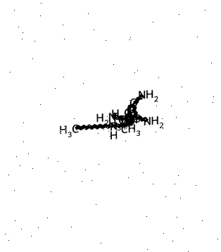 CCCCCCCCCCCCCCNCCC[C@@H](C)[C@H]1CC[C@H]2C3[C@H](OCCCN)CC4C[C@H](OCCCN)CCC4(C)[C@H]3C[C@H](OCCCN)[C@]12C